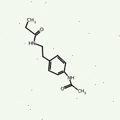 CCC(=O)NCCc1ccc(NC(C)=O)cc1